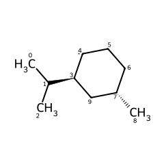 CC(C)[C@H]1[CH]CC[C@H](C)C1